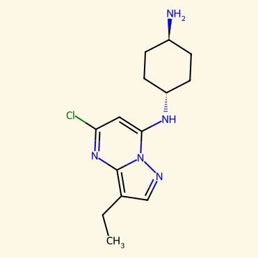 CCc1cnn2c(N[C@H]3CC[C@H](N)CC3)cc(Cl)nc12